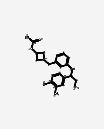 CCC(Nc1cccc(CN2CC(OC(=O)O)C2)c1)c1ccc(Cl)c(C)c1